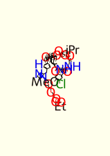 CCC(=O)OOCCOCCOCCN1CCNCC1Cc1ccc([C@H]2O[C@@H]2[C@@H](C)[C@@H]2CC=CC(=O)N[C@H](Cc3ccc(OC)c(Cl)c3)C(=O)NCC(C)(C)C(=O)O[C@@H](CC(C)C)C(=O)O2)cc1